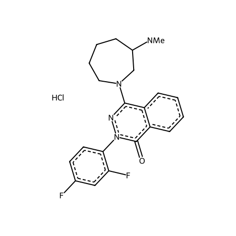 CNC1CCCCN(c2nn(-c3ccc(F)cc3F)c(=O)c3ccccc23)C1.Cl